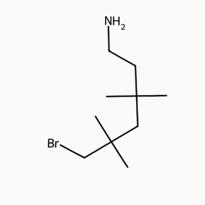 CC(C)(CBr)CC(C)(C)CCN